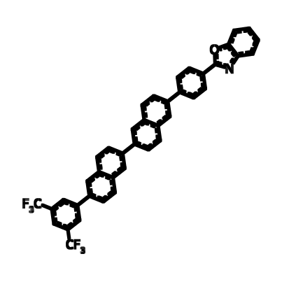 FC(F)(F)c1cc(-c2ccc3cc(-c4ccc5cc(-c6ccc(-c7nc8ccccc8o7)cc6)ccc5c4)ccc3c2)cc(C(F)(F)F)c1